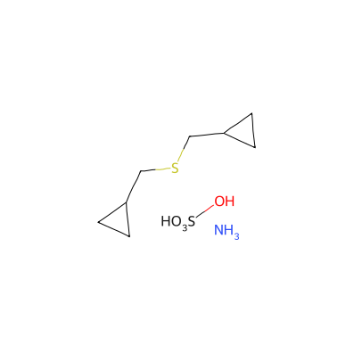 C1CC1CSCC1CC1.N.O=S(=O)(O)O